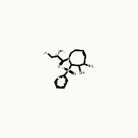 CC(C)C[C@H](N)C(=O)N1CCC=CC(N)C(O)C1S(=O)(=O)c1ccccn1